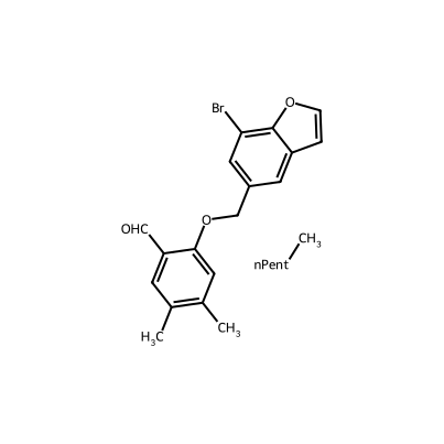 CCCCCC.Cc1cc(C=O)c(OCc2cc(Br)c3occc3c2)cc1C